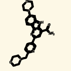 NC(=O)c1cc(-c2ccc(CN3CCOCC3)nc2)nc2c1[nH]c1cc(N3CCOCC3)ccc12